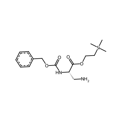 C[Si](C)(C)CCOC(=O)[C@H](CN)NC(=O)OCc1ccccc1